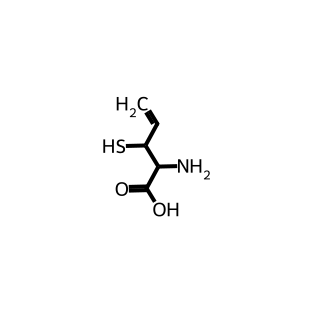 C=CC(S)C(N)C(=O)O